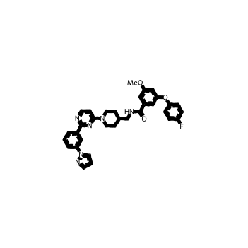 COc1cc(Oc2ccc(F)cc2)cc(C(=O)NCC2CCN(c3ccnc(-c4cccc(-n5cccn5)c4)n3)CC2)c1